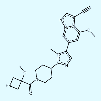 COc1cc(-c2cnn(C3CCN(C(=O)C4(OC)CNC4)CC3)c2C)cn2ncc(C#N)c12